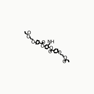 C=CC(=O)OCCCOc1ccc(C(=O)Oc2ccc(OC(=O)c3ccc(OCCCOC(=O)C=C)cc3)c(C=N)c2)cc1